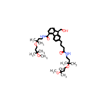 COC(C)(C)CCOC(C)(C)CCNC(=O)CCCc1ccc2c(c1)C(CO)c1cccc(C(=O)NCCC(C)(C)OCCC(C)(C)OC)c1-2